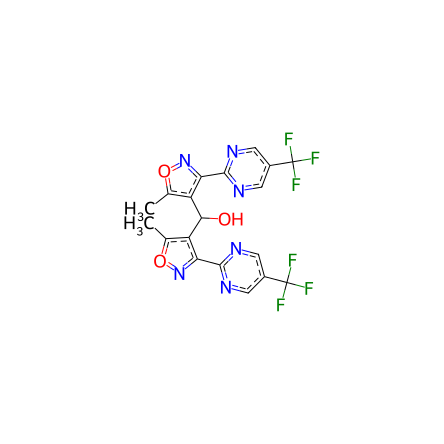 Cc1onc(-c2ncc(C(F)(F)F)cn2)c1C(O)c1c(-c2ncc(C(F)(F)F)cn2)noc1C